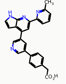 Cc1cccc(-c2cc(-c3cncc(-c4ccc(CC(=O)O)cc4)c3)c3cc[nH]c3n2)n1